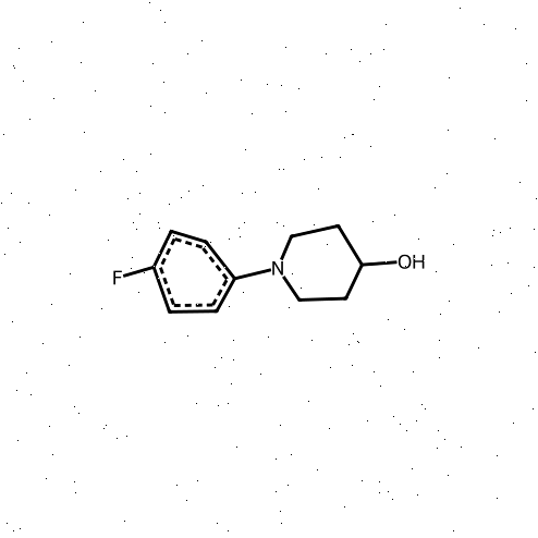 OC1CCN(c2ccc(F)cc2)CC1